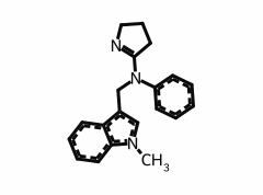 Cn1cc(CN(C2=NCCC2)c2ccccc2)c2ccccc21